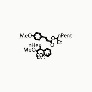 CCCCCC(CC)OC(=O)C=Cc1ccc(OC)cc1.CCCCCCC(=C(OC)C(=O)O)c1ccccc1CC